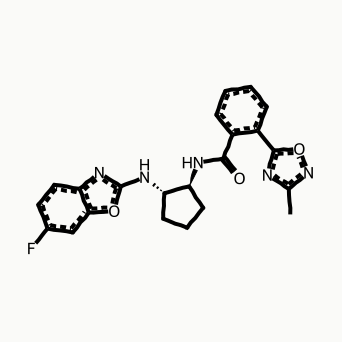 Cc1noc(-c2ccccc2C(=O)N[C@H]2CCC[C@@H]2Nc2nc3ccc(F)cc3o2)n1